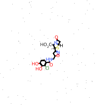 C[C@@]1(C2=NOC(CNC(=O)c3ccc(O)c(O)c3Cl)C2)S[C@@H]2CC(=O)N2[C@H]1C(=O)O